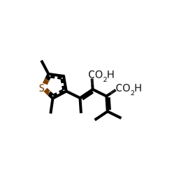 CC(C)=C(C(=O)O)C(C(=O)O)=C(C)c1cc(C)sc1C